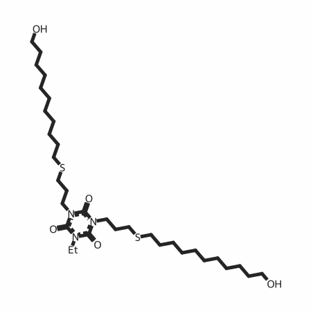 CCn1c(=O)n(CCCSCCCCCCCCCCCO)c(=O)n(CCCSCCCCCCCCCCCO)c1=O